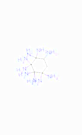 NC1CC(N)(N)C(N)(N)C(N)(N)C1(N)N